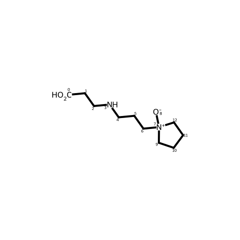 O=C(O)CCNCCC[N+]1([O-])CCCC1